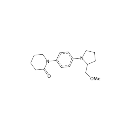 COCC1CCCN1c1ccc(N2CCCCC2=O)cc1